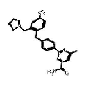 Cc1cc(C(N)=O)nc(-c2ccc(Cc3ccc(C(F)(F)F)cc3CN3CCCC3)cc2)n1